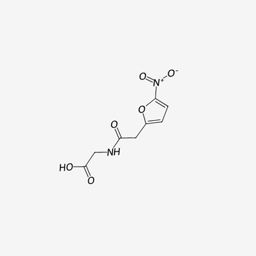 O=C(O)CNC(=O)Cc1ccc([N+](=O)[O-])o1